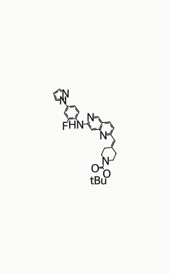 CC(C)(C)OC(=O)N1CCC(=Cc2ccc3cnc(Nc4ccc(-n5cccn5)cc4F)cc3n2)CC1